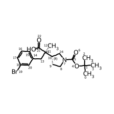 CC(C)(C)OC(=O)N1CC[C@H]([C@@](C)(Cc2cccc(Br)c2)C(=O)O)C1